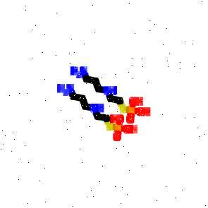 NCCCNCCSP(=O)(O)O.NCCCNCCSP(=O)(O)O